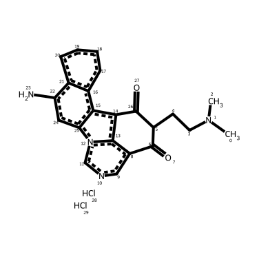 CN(C)CCC1C(=O)c2cncn3c2c(c2c4ccccc4c(N)cc23)C1=O.Cl.Cl